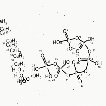 O.O.O.O.O.O=P(O)(O)OP(=O)(O)OP(=O)(O)OP(=O)(O)OP(=O)(O)OP(=O)(O)O.[CaH2].[CaH2].[CaH2].[CaH2].[CaH2].[CaH2].[CaH2].[CaH2]